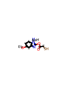 CCOc1ccc2[nH]c(OC(=O)CS)nc2c1.[NaH]